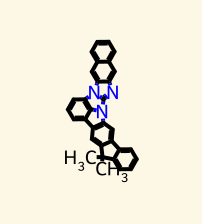 CC1(C)c2ccccc2-c2cc3c(cc21)c1cccc2c1n3c1nc3cc4ccccc4cc3n21